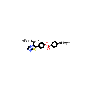 CCCCCCC[C@H]1CC[C@H](C(=O)Oc2ccc(-c3sc4nccn4c3C(CC)CCCCC)cc2)CC1